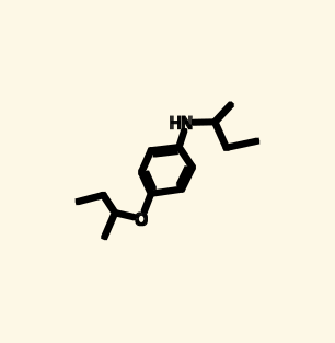 CCC(C)Nc1ccc(OC(C)CC)cc1